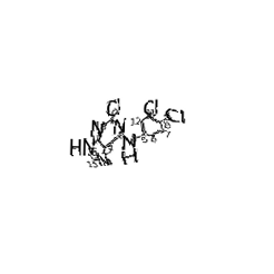 Clc1nc(Nc2ccc(Cl)c(Cl)c2)c2nc[nH]c2n1